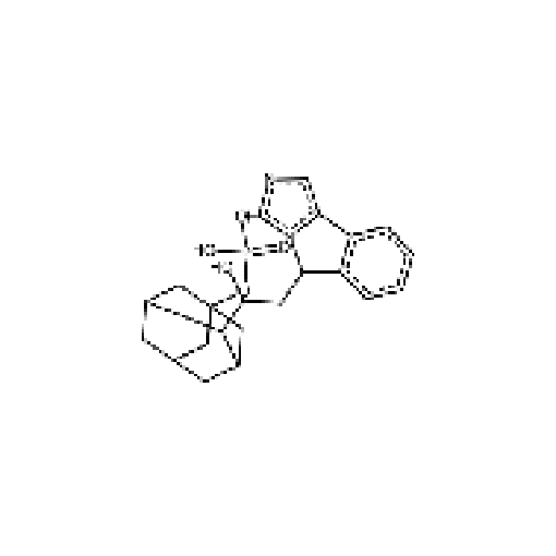 O=P(O)(O)OC12CC3CC(C1)C(C(O)CC1c4ccccc4-c4cncn41)C(C3)C2